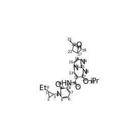 CCC1CC1n1cccc(NC(=O)c2cn3cc([C@]45CO[C@@](C)(C4)C5)nc3nc2OC(C)C)c1=O